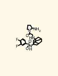 N[C@@H]1CCCN1C(=O)CNC12CC3CC(C1)CC(NS(=O)(=O)c1ccc(F)c(F)c1)(C3)C2